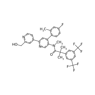 Cc1cc(F)ccc1-c1cc(-c2ccnc(CO)c2)ncc1N(C)C(=O)C(C)(C)c1cc(C(F)(F)F)cc(C(F)(F)F)c1